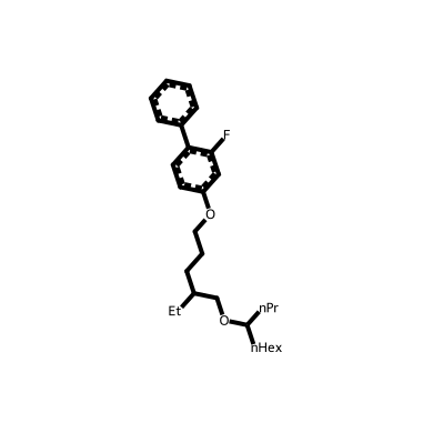 CCCCCCC(CCC)OCC(CC)CCCOc1ccc(-c2ccccc2)c(F)c1